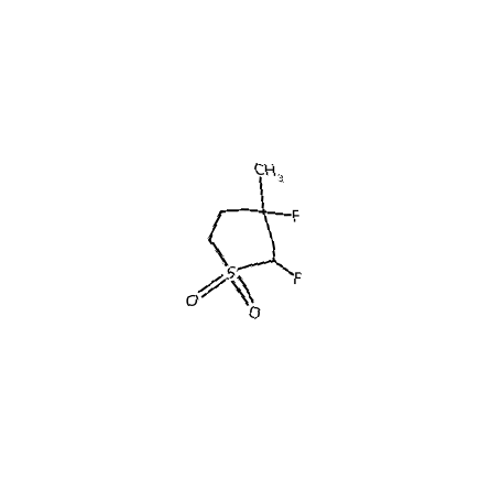 CC1(F)CCS(=O)(=O)C1F